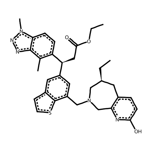 CCOC(=O)C[C@@H](c1cc(CN2Cc3nc(O)ccc3C[C@H](CC)C2)c2sccc2c1)c1ccc2c(nnn2C)c1C